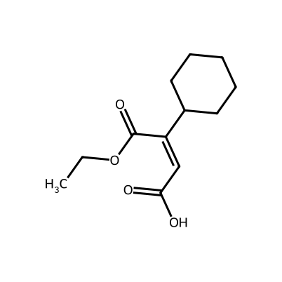 CCOC(=O)/C(=C\C(=O)O)C1CCCCC1